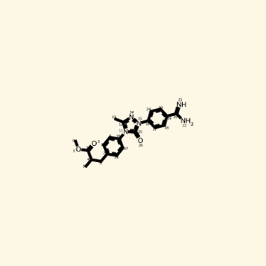 COC(=O)C(C)Cc1ccc(-n2c(C)nn(-c3ccc(C(=N)N)cc3)c2=O)cc1